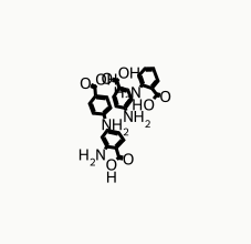 Nc1ccc(C(=O)O)cc1.Nc1ccc(C(=O)O)cc1.Nc1ccccc1C(=O)O.Nc1ccccc1C(=O)O